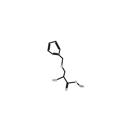 CC(C)(C)OC(=O)C(O)COCc1ccccc1